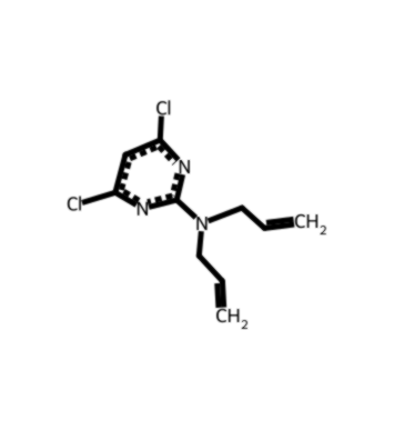 C=CCN(CC=C)c1nc(Cl)cc(Cl)n1